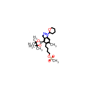 Cc1cc2c(cnn2C2CCCCO2)c(B2OC(C)(C)C(C)(C)O2)c1CCCCOS(C)(=O)=O